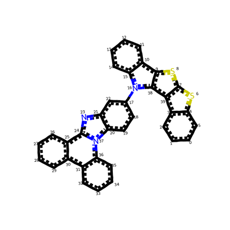 c1ccc2c(c1)sc1sc3c4ccccc4n(-c4ccc5c(c4)nc4c6ccccc6c6ccccc6n54)c3c12